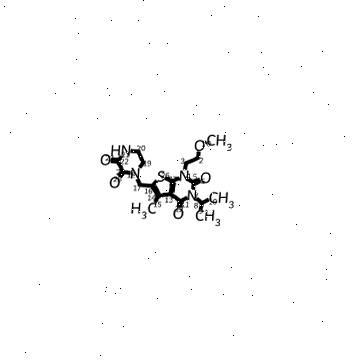 COCCn1c(=O)n(C(C)C)c(=O)c2c(C)c(CN3CCNC(=O)C3=O)sc21